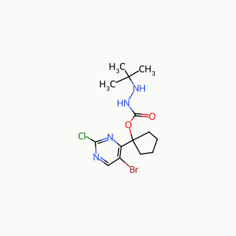 CC(C)(C)NNC(=O)OC1(c2nc(Cl)ncc2Br)CCCC1